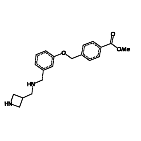 COC(=O)c1ccc(COc2cccc(CNCC3CNC3)c2)cc1